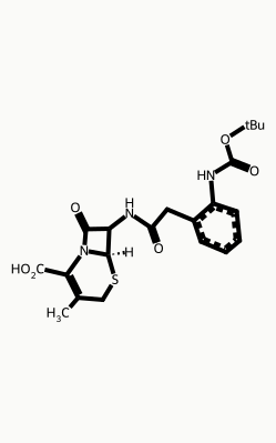 CC1=C(C(=O)O)N2C(=O)C(NC(=O)Cc3ccccc3NC(=O)OC(C)(C)C)[C@H]2SC1